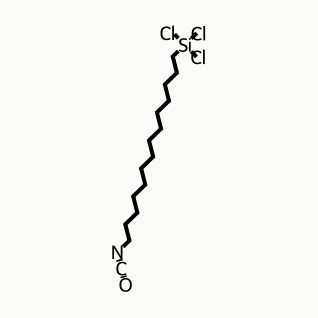 O=C=NCCCCCCCCCCCCCC[Si](Cl)(Cl)Cl